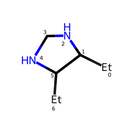 CCC1NCNC1CC